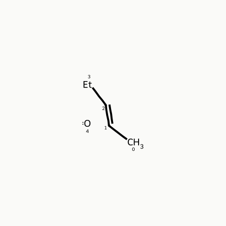 CC=CCC.[O]